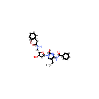 CCc1cn([C@H]2CC(O)[C@@H](CNC(=O)Cc3ccccc3Br)O2)c(=O)nc1NC(=O)c1ccccc1